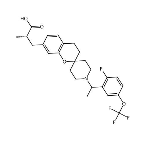 CC(c1cc(OC(F)(F)F)ccc1F)N1CCC2(CCc3ccc(C[C@H](C)C(=O)O)cc3O2)CC1